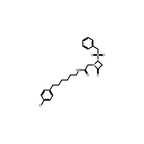 O=C(CN1C(=O)C[C@@H]1S(=O)(=O)Cc1ccccc1)NCCCCCCc1ccc(Cl)cc1